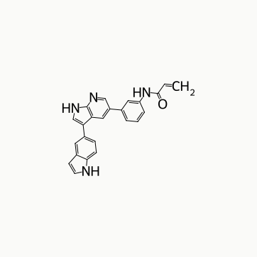 C=CC(=O)Nc1cccc(-c2cnc3[nH]cc(-c4ccc5[nH]ccc5c4)c3c2)c1